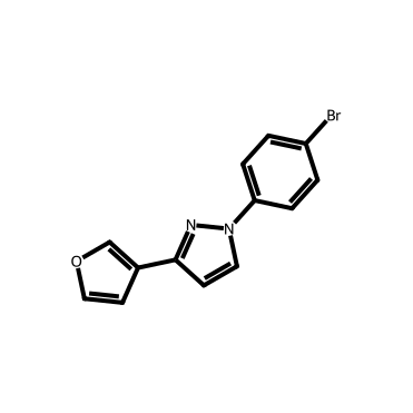 Brc1ccc(-n2ccc(-c3ccoc3)n2)cc1